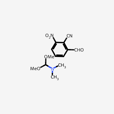 COC(OC)N(C)C.N#Cc1c(C=O)cccc1[N+](=O)[O-]